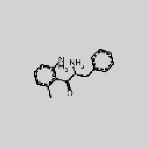 Cc1cccc(N)c1C(=O)C(N)Cc1ccccc1